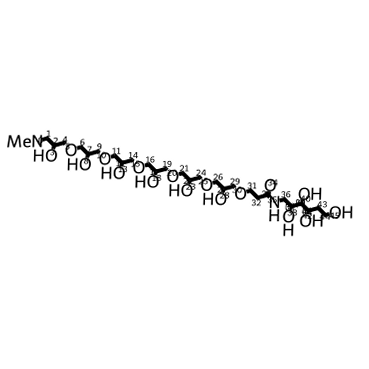 CNCC(O)COCC(O)COCC(O)COCC(O)COCC(O)COCC(O)COCCC(=O)NC[C@H](O)[C@@H](O)[C@H](O)CCO